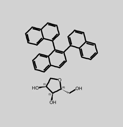 OC[C@H]1OC[C@H](O)[C@@H]1O.c1ccc2c(-c3ccc4ccccc4c3-c3cccc4ccccc34)cccc2c1